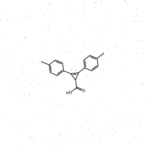 O=C(O)C1C(c2ccc(I)cc2)=C1c1ccc(I)cc1